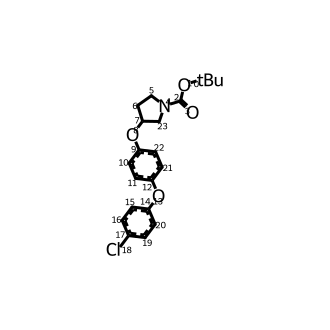 CC(C)(C)OC(=O)N1CCC(Oc2ccc(Oc3ccc(Cl)cc3)cc2)C1